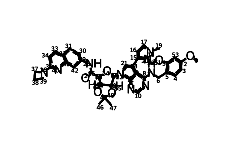 COc1ccc(CNc2ncnc3c2c(-c2ccn(C)n2)cn3[C@@H]2O[C@H](C(=O)Nc3ccc4ccc(N5CCC5)nc4c3)[C@H]3OC(C)(C)O[C@H]32)c(OC)c1